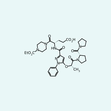 CCOC(=O)N1CCN(C(=O)[C@H](CCC(=O)O)NC(=O)c2cc(O[C@@H](C)C(=O)N3CCC[C@H]3C(=O)N3CCCC3)n(-c3ccccc3)n2)CC1